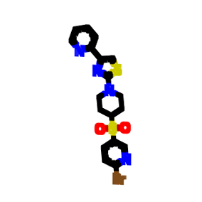 O=S(=O)(c1ccc(Br)nc1)C1CCN(c2nc(-c3ccccn3)cs2)CC1